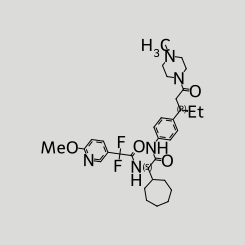 CC[C@H](CC(=O)N1CCN(C)CC1)c1ccc(NC(=O)[C@@H](NC(=O)C(F)(F)c2ccc(OC)nc2)C2CCCCCC2)cc1